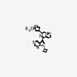 Cn1cc(-c2cn3nccc3c(-c3cn(C4CCC4)c4ncncc34)n2)cn1